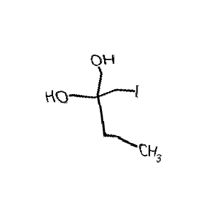 CCC(O)(O)I